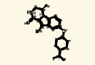 CC(C)N1CCC(Oc2ccc3c(c2)c(Br)c2n3[C@H](C)CNC2=O)CC1